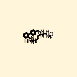 CCCCc1nc(CNC(C)=O)nn1Cc1ccc(-c2ccccc2-c2nnn[nH]2)cc1